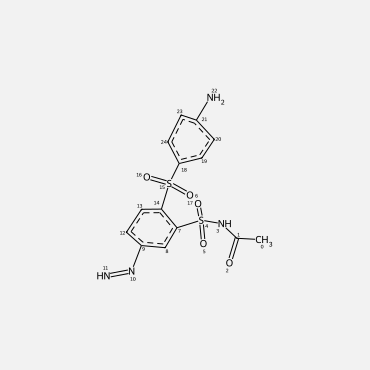 CC(=O)NS(=O)(=O)c1cc(N=N)ccc1S(=O)(=O)c1ccc(N)cc1